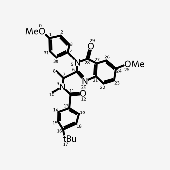 COc1ccc(-n2c(C(C)N(C)C(=O)c3ccc(C(C)(C)C)cc3)nc3ccc(OC)cc3c2=O)cc1